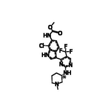 COC(=O)Nc1ccc2c(-c3nc(N[C@H]4CCCN(C)C4)ncc3C(F)(F)F)c[nH]c2c1Cl